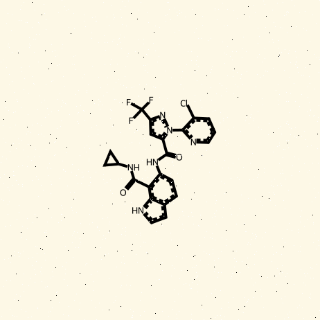 O=C(NC1CC1)c1c(NC(=O)c2cc(C(F)(F)F)nn2-c2ncccc2Cl)ccc2cc[nH]c12